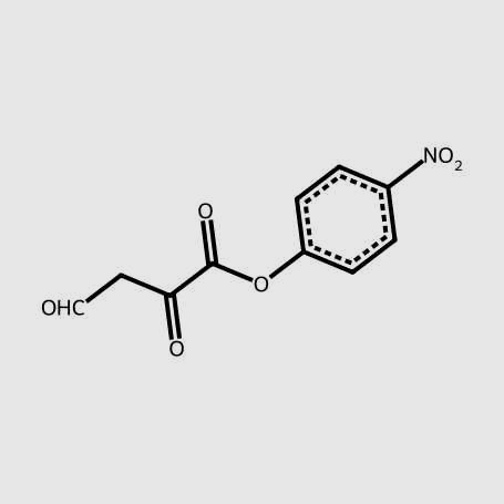 O=CCC(=O)C(=O)Oc1ccc([N+](=O)[O-])cc1